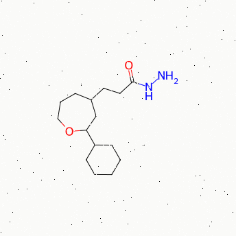 NNC(=O)CCC1CCCOC(C2CCCCC2)C1